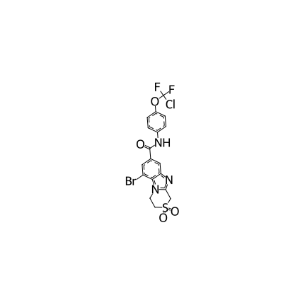 O=C(Nc1ccc(OC(F)(F)Cl)cc1)c1cc(Br)c2c(c1)nc1n2CCS(=O)(=O)C1